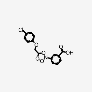 O=C(O)c1cccc(N2OOC(COc3ccc(Cl)cc3)O2)c1